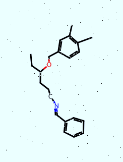 CCC(CCCN=Cc1ccccc1)OCc1ccc(C)c(C)c1